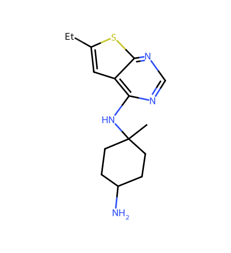 CCc1cc2c(NC3(C)CCC(N)CC3)ncnc2s1